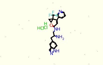 Cl.Cl.NC(CNC(=O)C=C(c1cccnc1)C1(C(F)(F)F)CC1)Cc1ccc2[nH]ncc2c1